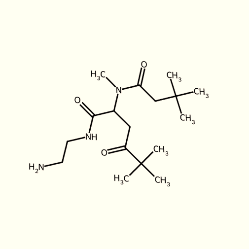 CN(C(=O)CC(C)(C)C)C(CC(=O)C(C)(C)C)C(=O)NCCN